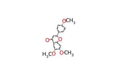 COc1ccc(-c2cc(=O)c3cc(OC)c(OC)cc3o2)cc1